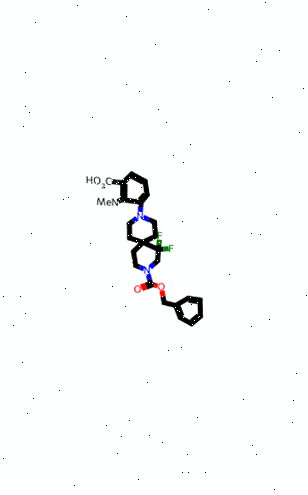 CNc1c(C(=O)O)cccc1N1CCC2(CCN(C(=O)OCc3ccccc3)CC2(F)F)CC1